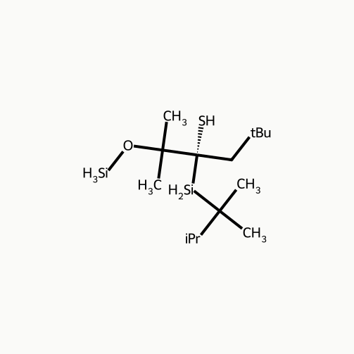 CC(C)C(C)(C)[SiH2][C@](S)(CC(C)(C)C)C(C)(C)O[SiH3]